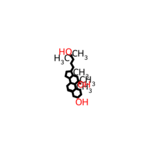 CC(C)(O)CCCC1CCC2C3CC=C4CC(O)CCC4(C)C3C(C)(O)CC12C